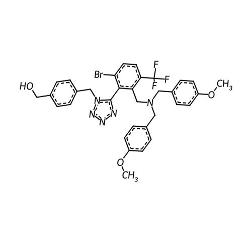 COc1ccc(CN(Cc2ccc(OC)cc2)Cc2c(C(F)(F)F)ccc(Br)c2-c2nnnn2Cc2ccc(CO)cc2)cc1